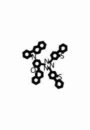 c1ccc2cc3c(cc2c1)c1ccccc1n3-c1cc(-c2nc(-c3ccc4c(c3)sc3ccccc34)nc(-c3ccc4c(c3)sc3ccccc34)n2)c2c(c1)oc1c3ccccc3ccc12